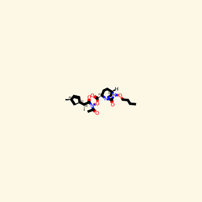 CCCCON1C(=O)N2C[C@@H]1CC[C@H]2C(=O)ON(C(C)=O)C(=O)[C@H](C)[C@@H]1C=C[C@H](C)C1